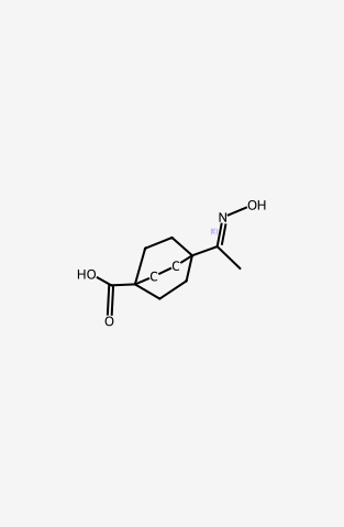 C/C(=N\O)C12CCC(C(=O)O)(CC1)CC2